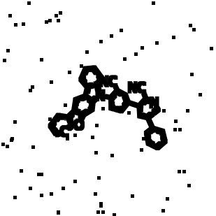 N#Cc1cc(-c2cc(-c3ccccc3)cnc2C#N)ccc1-n1c2ccccc2c2cc3c(cc21)oc1ccccc13